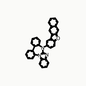 c1ccc2c(c1)-c1ccccc1-n1c(nc3ccccc31)N2c1ccc2oc3cc4ccccc4cc3c2c1